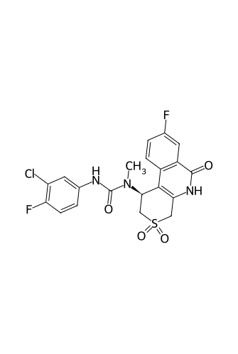 CN(C(=O)Nc1ccc(F)c(Cl)c1)[C@@H]1CS(=O)(=O)Cc2[nH]c(=O)c3cc(F)ccc3c21